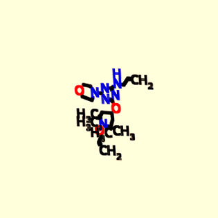 C=CCNc1nc(OC2CC(C)(C)N(OCC=C)C(C)(C)C2)nc(N2CCOCC2)n1